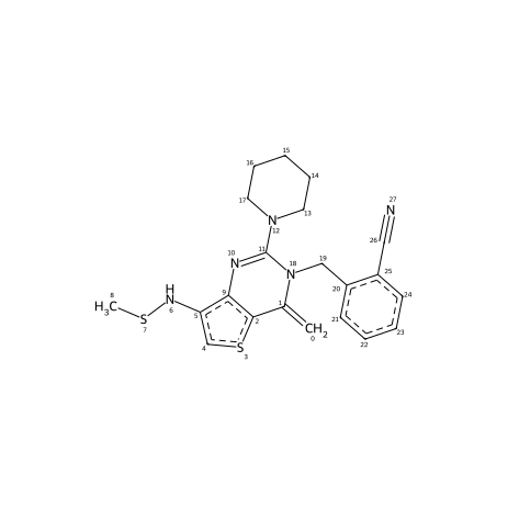 C=C1c2scc(NSC)c2N=C(N2CCCCC2)N1Cc1ccccc1C#N